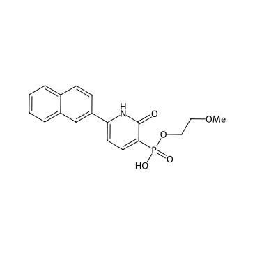 COCCOP(=O)(O)c1ccc(-c2ccc3ccccc3c2)[nH]c1=O